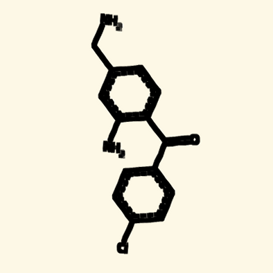 NCc1ccc(C(=O)c2ccc(Cl)cc2)c(N)c1